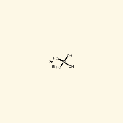 O[Si](O)(O)O.[B].[Zn]